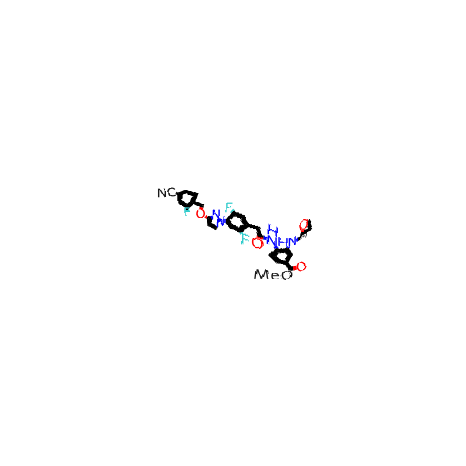 COC(=O)c1ccc(NC(=O)Cc2cc(F)c(-n3ccc(OCc4ccc(C#N)cc4F)n3)cc2F)c(NC[C@@H]2CCO2)c1